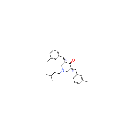 Cc1cccc(/C=C2\CN(CCC(C)C)C/C(=C\c3cccc(C)c3)C2=O)c1